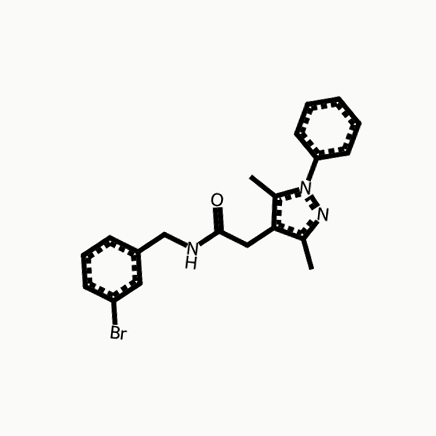 Cc1nn(-c2ccccc2)c(C)c1CC(=O)NCc1cccc(Br)c1